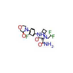 NC(=O)[C@H](C(=O)Nc1ccc(N2CCOCC2=O)c(F)c1)N(CC(F)F)C1CCC1